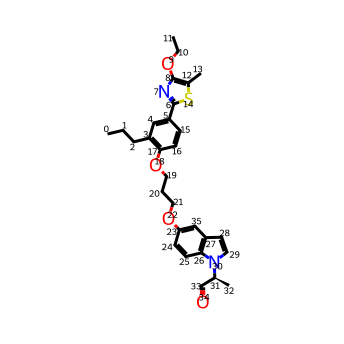 CCCc1cc(-c2nc(OCC)c(C)s2)ccc1OCCCOc1ccc2c(ccn2[C@@H](C)C=O)c1